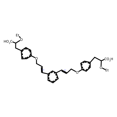 CCOC(Cc1ccc(OC/C=C/c2cccc(/C=C/COc3ccc(CC(OCC)C(=O)O)cc3)c2)cc1)C(=O)O